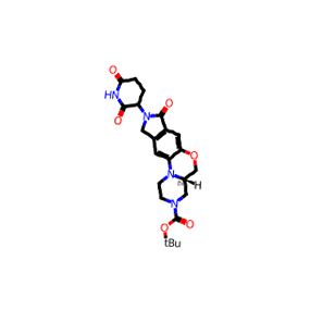 CC(C)(C)OC(=O)N1CCN2c3cc4c(cc3OC[C@@H]2C1)C(=O)N(C1CCC(=O)NC1=O)C4